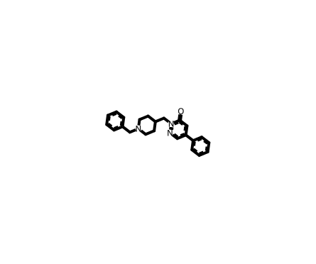 O=c1cc(-c2ccccc2)cnn1CC1CCN(Cc2ccccc2)CC1